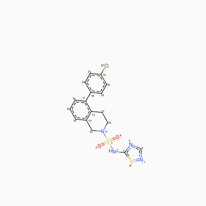 O=S(=O)(Nc1ncns1)N1CCc2c(cccc2-c2ccc(Cl)cc2)C1